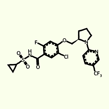 O=C(NS(=O)(=O)C1CC1)c1cc(Cl)c(OC[C@H]2CCCN2c2ccc(C(F)(F)F)cn2)cc1F